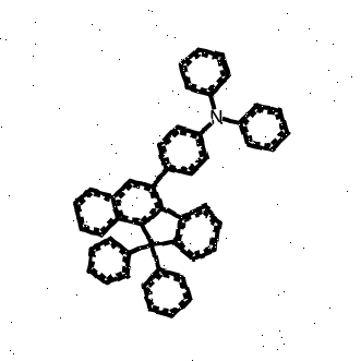 c1ccc(N(c2ccccc2)c2ccc(-c3cc4ccccc4c4c3-c3ccccc3C4(c3ccccc3)c3ccccc3)cc2)cc1